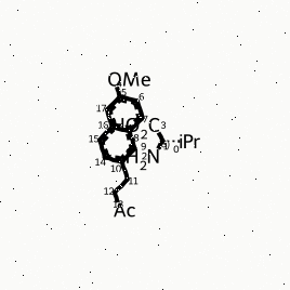 CC(C)[C@H](N)C(=O)O.COc1ccc2cc(CCC(C)=O)ccc2c1